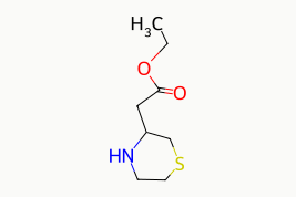 CCOC(=O)CC1CSCCN1